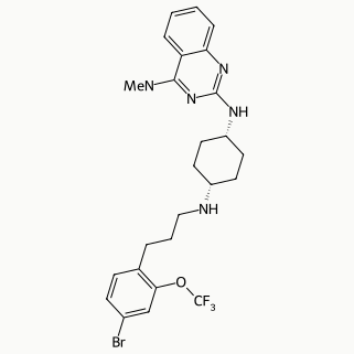 CNc1nc(N[C@H]2CC[C@@H](NCCCc3ccc(Br)cc3OC(F)(F)F)CC2)nc2ccccc12